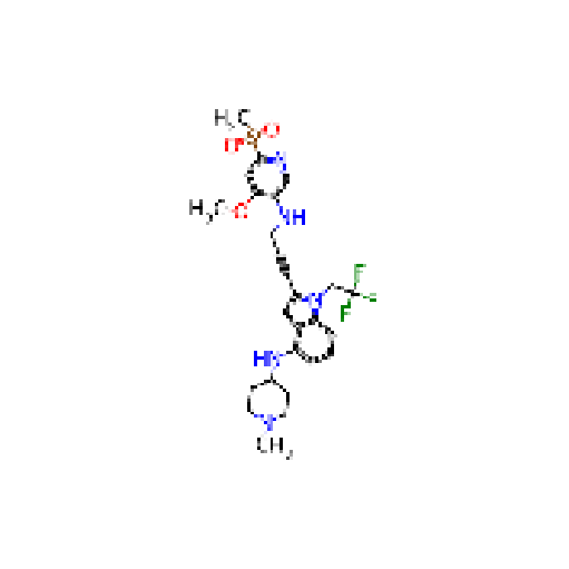 COc1cc(S(C)(=O)=O)ncc1NCC#Cc1cc2c(NC3CCN(C)CC3)cccc2n1CC(F)(F)F